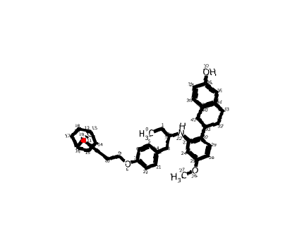 CCC(Cc1ccc(OCCN2CC3CCC(CC3)C2)cc1)Nc1cc(OC)ccc1C1CCc2cc(O)ccc2C1